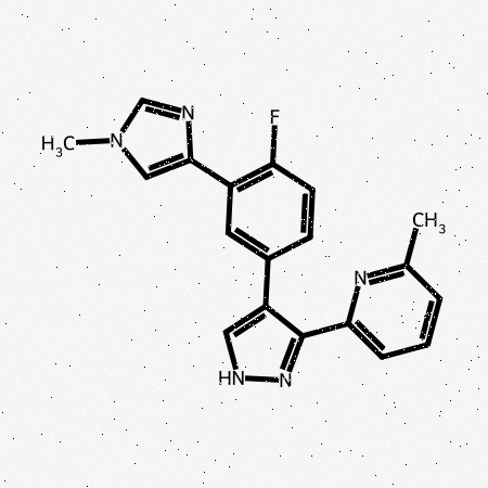 Cc1cccc(-c2n[nH]cc2-c2ccc(F)c(-c3cn(C)cn3)c2)n1